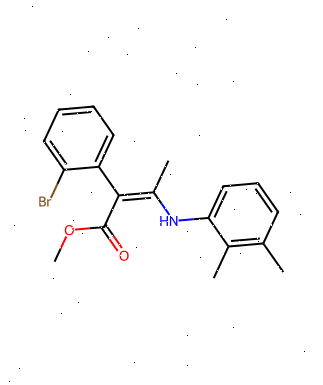 COC(=O)C(=C(C)Nc1cccc(C)c1C)c1ccccc1Br